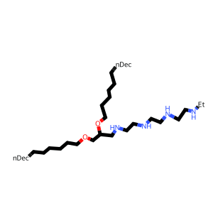 CCCCCCCCCCCCCCCCOCC(CNCCNCCNCCNCC)OCCCCCCCCCCCCCCCC